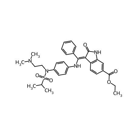 CCOC(=O)c1ccc2c(c1)NC(=O)/C2=C(/Nc1ccc(N(CCN(C)C)S(=O)(=O)C(C)C)cc1)c1ccccc1